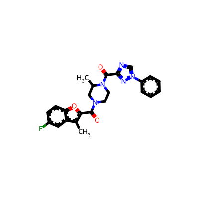 Cc1c(C(=O)N2CCN(C(=O)c3ncn(-c4ccccc4)n3)C(C)C2)oc2ccc(F)cc12